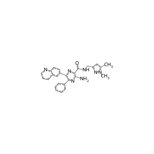 Cc1cc(CNC(=O)c2nc(-c3ccc4ncccc4c3)c(-c3ccccc3)nc2N)nn1C